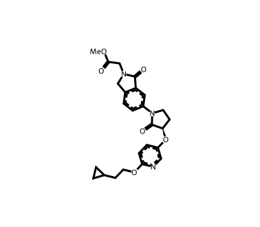 COC(=O)CN1Cc2ccc(N3CC[C@@H](Oc4ccc(OCCC5CC5)nc4)C3=O)cc2C1=O